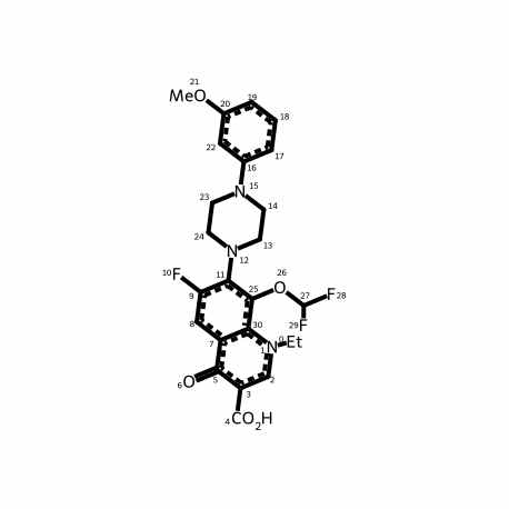 CCn1cc(C(=O)O)c(=O)c2cc(F)c(N3CCN(c4cccc(OC)c4)CC3)c(OC(F)F)c21